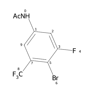 CC(=O)Nc1cc(F)c(Br)c(C(F)(F)F)c1